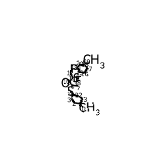 Cc1ccc(SC(CF)C(=O)C(CF)Sc2ccc(C)cc2)cc1